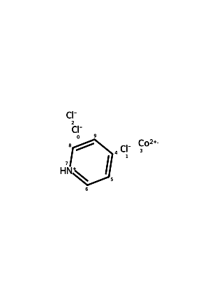 [Cl-].[Cl-].[Cl-].[Co+2].c1cc[nH+]cc1